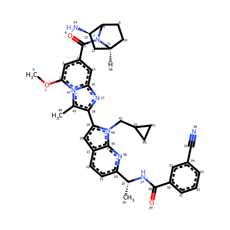 COc1cc(C(=O)N2C3CC[C@H]2C[C@H]3N)cc2nc(-c3cc4ccc([C@@H](C)NC(=O)c5cccc(C#N)c5)nc4n3CC3CC3)c(C)n12